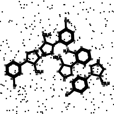 Cc1cccc(C2CNCC2C(=O)O)c1.Cc1ccccc1C1CNCC1C(=O)O.O=C(O)C1CNCC1c1cccc(Br)c1.O=C(O)[C@@H]1CNC[C@H]1c1ccc(Br)cc1